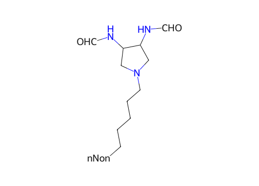 CCCCCCCCCCCCCCN1CC(NC=O)C(NC=O)C1